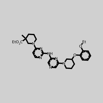 CCOC(=O)C1(C)CCCN(c2ccnc(Nc3cncc(N4CCCC(Oc5ccccc5OCC)C4)n3)n2)C1